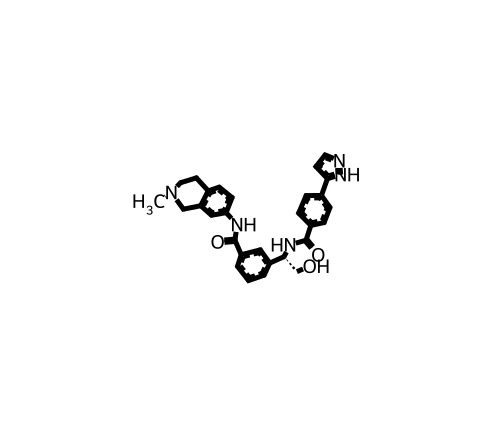 CN1CCc2ccc(NC(=O)c3cccc([C@@H](CO)NC(=O)c4ccc(-c5ccn[nH]5)cc4)c3)cc2C1